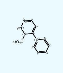 O=C(O)N1NN=CC=C1[n+]1ccccc1